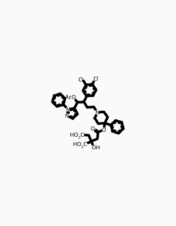 CC(=O)OC(c1ccnn1-c1ccccc1)C(CCN1CCC(OC(=O)CC(O)(CC(=O)O)C(=O)O)(c2ccccc2)CC1)c1ccc(Cl)c(Cl)c1